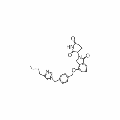 CCCCc1cn(Cc2ccc(COc3cccc4c3CN(C3CCC(=O)NC3=O)C4=O)cc2)cn1